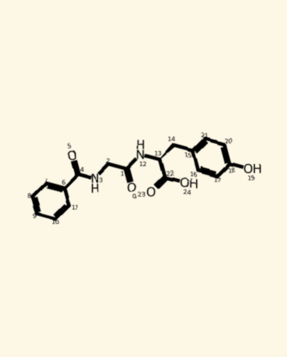 O=C(CNC(=O)c1ccccc1)N[C@@H](Cc1ccc(O)cc1)C(=O)O